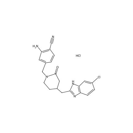 Cl.N#Cc1ccc(CN2CCC(Cc3nc4ccc(Cl)cc4[nH]3)CC2=O)cc1N